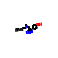 CNCCN(C)Cc1c[nH]nc1[C@H]1CC[C@H](O)CC1